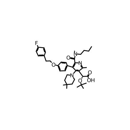 CCCCN(C)C(=O)c1nc(C)c([C@H](OC(C)(C)C)C(=O)O)c(N2CCC(C)(C)CC2)c1-c1ccc(OCCc2ccc(F)cc2)cc1